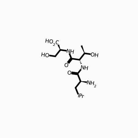 CC(C)C[C@H](N)C(=O)N[C@H](C(=O)N[C@@H](CO)C(=O)O)[C@@H](C)O